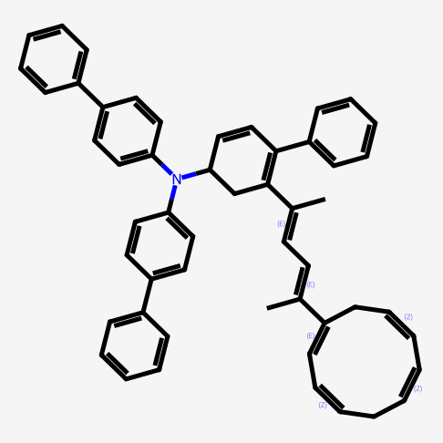 C\C(=C/C=C(C)/C1=C/C=C\C/C=C\C=C/C1)C1=C(c2ccccc2)C=CC(N(c2ccc(-c3ccccc3)cc2)c2ccc(-c3ccccc3)cc2)C1